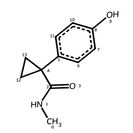 CNC(=O)C1(c2ccc(O)cc2)CC1